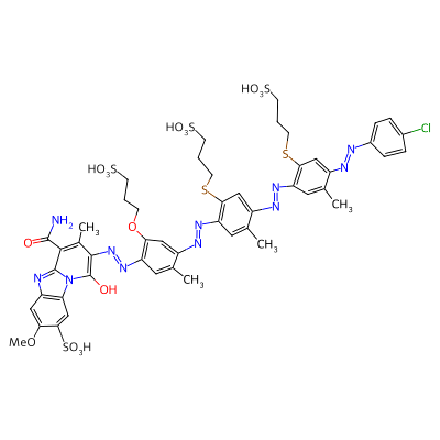 COc1cc2nc3c(C(N)=O)c(C)c(N=Nc4cc(C)c(N=Nc5cc(C)c(N=Nc6cc(C)c(N=Nc7ccc(Cl)cc7)cc6SCCCS(=O)(=O)O)cc5SCCCS(=O)(=O)O)cc4OCCCS(=O)(=O)O)c(O)n3c2cc1S(=O)(=O)O